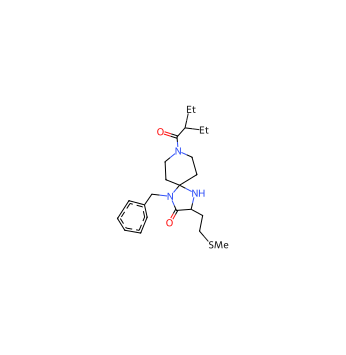 CCC(CC)C(=O)N1CCC2(CC1)NC(CCSC)C(=O)N2Cc1ccccc1